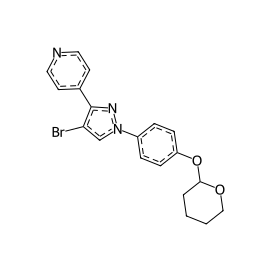 Brc1cn(-c2ccc(OC3CCCCO3)cc2)nc1-c1ccncc1